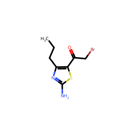 CCCc1nc(N)sc1C(=O)CBr